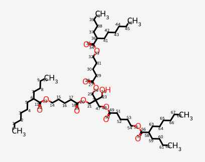 CCCCCCC(CCCC)C(=O)OCCCCC(=O)OCC(CO)(COC(=O)CCCCOC(=O)C(CCCC)CCCCCC)COC(=O)CCCCOC(=O)C(CCCC)CCCCCC